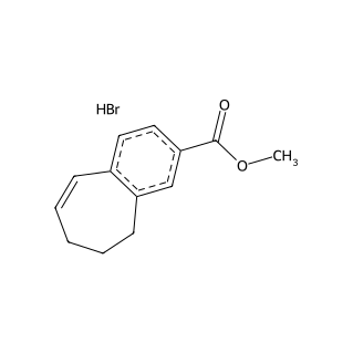 Br.COC(=O)c1ccc2c(c1)CCCC=C2